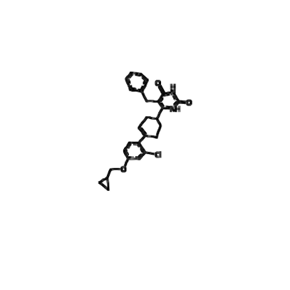 O=c1[nH]c(C2CC=C(c3ccc(OCC4CC4)cc3Cl)CC2)c(Cc2ccccc2)c(=O)[nH]1